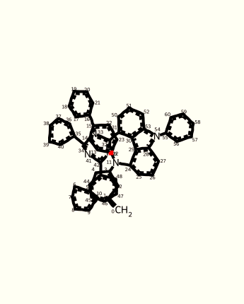 C=C/C=C(\Cc1ccccc1)N(c1ccc(-c2ccccc2)cc1)c1cccc2c1c1c(-c3nc(-c4ccccc4)nc(-c4ccccc4)n3)cccc1n2-c1ccccc1